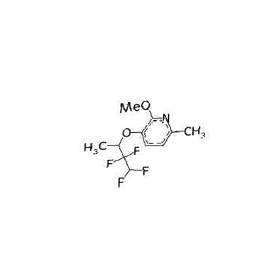 COc1nc(C)ccc1OC(C)C(F)(F)C(F)F